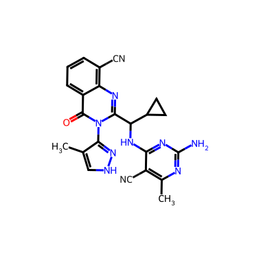 Cc1c[nH]nc1-n1c(C(Nc2nc(N)nc(C)c2C#N)C2CC2)nc2c(C#N)cccc2c1=O